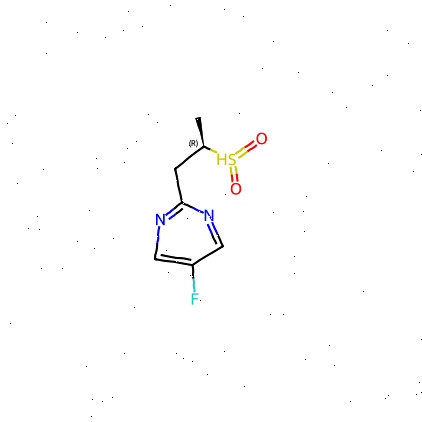 C[C@H](Cc1ncc(F)cn1)[SH](=O)=O